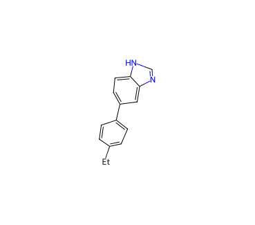 CCc1ccc(-c2ccc3[nH]cnc3c2)cc1